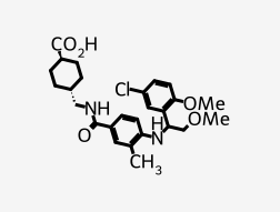 COCC(Nc1ccc(C(=O)NC[C@H]2CC[C@H](C(=O)O)CC2)cc1C)c1cc(Cl)ccc1OC